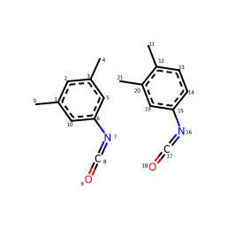 Cc1cc(C)cc(N=C=O)c1.Cc1ccc(N=C=O)cc1C